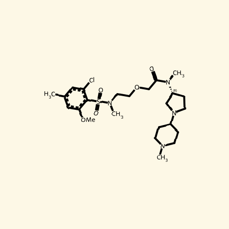 COc1cc(C)cc(Cl)c1S(=O)(=O)N(C)CCOCC(=O)N(C)[C@@H]1CCN(C2CCN(C)CC2)C1